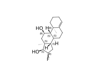 C[C@]12C[C@@H](O)[C@H]3[C@@H](CCC4=CCCC[C@@]43C)[C@@H]1C[C@@H](F)[C@H]2O